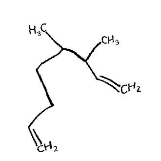 C=CCCC(C)C(C)C=C